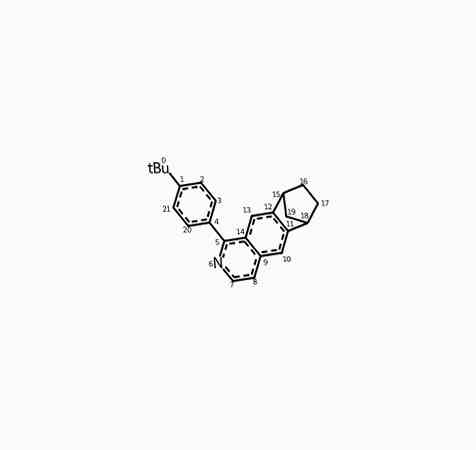 CC(C)(C)c1ccc(-c2nccc3cc4c(cc23)C2CCC4C2)cc1